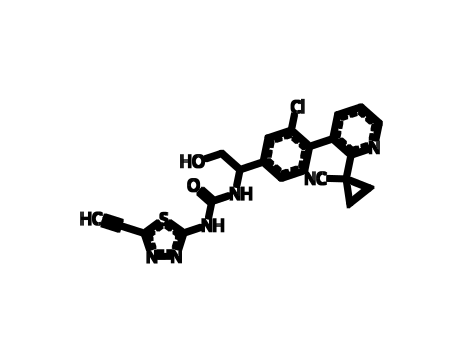 C#Cc1nnc(NC(=O)NC(CO)c2ccc(-c3cccnc3C3(C#N)CC3)c(Cl)c2)s1